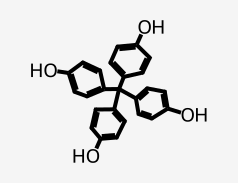 Oc1ccc(C(c2ccc(O)cc2)(c2ccc(O)cc2)c2ccc(O)cc2)cc1